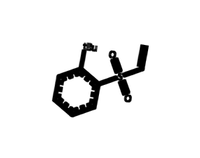 C=CS(=O)(=O)c1ccccc1C(C)(C)C